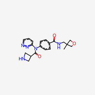 CC1(CNC(=O)c2ccc(N(C(=O)C3CNC3)c3cccnn3)cc2)COC1